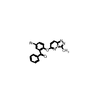 Cc1nnc2ccc(Oc3ccc(Br)cc3C(=O)c3ccccc3)nn12